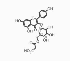 O=C(O)CC(=O)OC[C@H]1O[C@@H](Oc2c(-c3ccc(O)cc3)oc3cc(O)cc(O)c3c2=O)C(O)C(O)[C@@H]1O